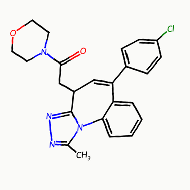 Cc1nnc2n1-c1ccccc1C(c1ccc(Cl)cc1)=CC2CC(=O)N1CCOCC1